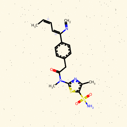 C=N/C(=C\C=C/C)c1ccc(CC(=O)N(C)c2nc(C)c(S(N)(=O)=O)s2)cc1